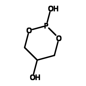 OC1COP(O)OC1